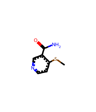 CSc1ccncc1C(N)=O